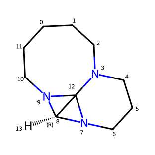 C1CCN2CCCN3[C@H]4N(CC1)C423